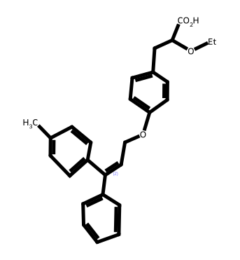 CCOC(Cc1ccc(OC/C=C(/c2ccccc2)c2ccc(C)cc2)cc1)C(=O)O